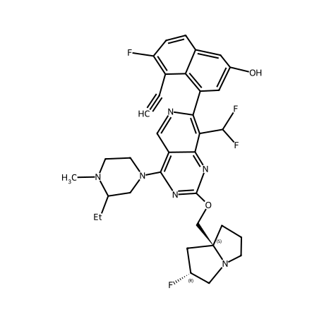 C#Cc1c(F)ccc2cc(O)cc(-c3ncc4c(N5CCN(C)C(CC)C5)nc(OC[C@@]56CCCN5C[C@H](F)C6)nc4c3C(F)F)c12